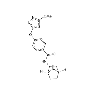 COc1nnc(Oc2ccc(C(=O)N[C@@H]3C[C@H]4CC[C@@H]3N4)cc2)s1